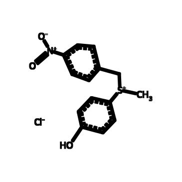 C[S+](Cc1ccc([N+](=O)[O-])cc1)c1ccc(O)cc1.[Cl-]